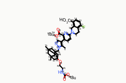 Cc1c(-c2ccc(N3CCc4c(F)ccc(C(=O)O)c4C3)nc2C(=O)OC(C)(C)C)cnn1CC12CC3(C)CC(C)(C1)CC(OCCNC(=O)OC(C)(C)C)(C3)C2